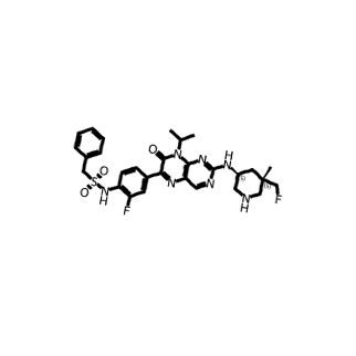 CC(C)n1c(=O)c(-c2ccc(NS(=O)(=O)Cc3ccccc3)c(F)c2)nc2cnc(N[C@@H]3CNC[C@@](C)(CF)C3)nc21